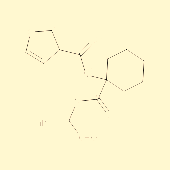 CC(C)[C@@H](C=O)NC(=O)C1(NC(=O)C2C=COC2)CCCCC1